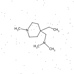 CCC1(CN(C)C)CCN(C)CC1